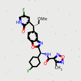 COC[C@H](c1ccc2oc([C@@H](NC(=O)c3nonc3C)C3CCC(F)CC3)nc2c1)c1cc(F)c[nH]c1=O